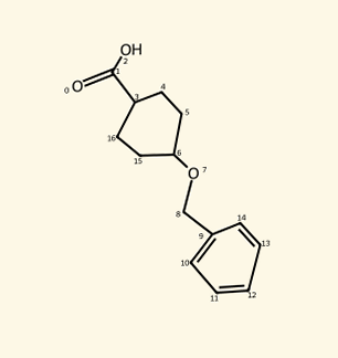 O=C(O)C1CCC(OCc2ccccc2)CC1